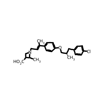 CC(=CCN1CC(C(=O)O)C1C)c1ccc(OC[C@@H](C)Cc2ccc(Cl)cc2)cc1